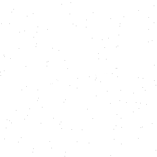 CCCCNCCOCCOCCNCC(C)C